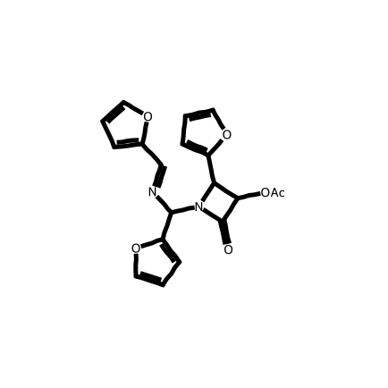 CC(=O)OC1C(=O)N(C(N=Cc2ccco2)c2ccco2)C1c1ccco1